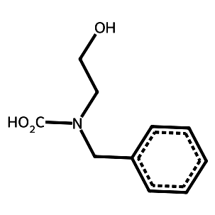 O=C(O)N(CCO)Cc1ccccc1